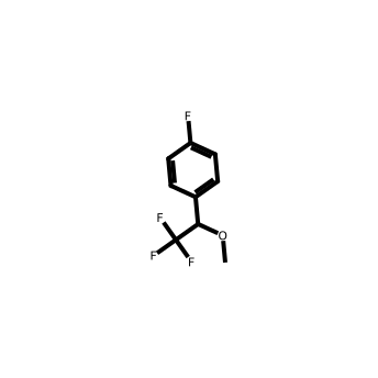 COC(c1ccc(F)cc1)C(F)(F)F